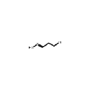 ON=CCCCl